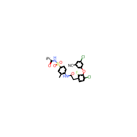 Cc1cc(S(=O)(=O)NC(=O)C(C)C)ccc1NC(=O)Cc1ccc(Cl)c(Oc2cc(Cl)cc(C#N)c2)c1F